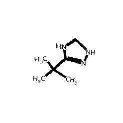 CC(C)(C)C1=NNCN1